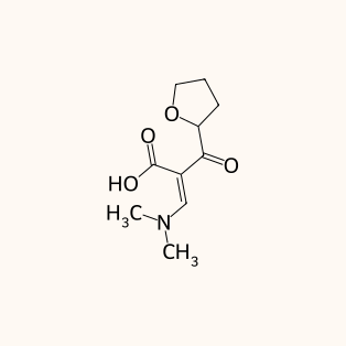 CN(C)/C=C(\C(=O)O)C(=O)C1CCCO1